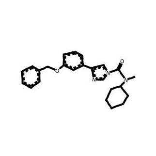 CN(C(=O)n1cnc(-c2cccc(OCc3ccccc3)c2)c1)C1CCCCC1